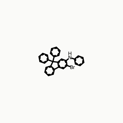 Brc1cc2c(cc1Nc1ccccc1)C(c1ccccc1)(c1ccccc1)c1ccccc1-2